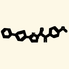 COc1ccc(NC(=O)n2ccc(-c3ccc(-c4ccccc4)cc3)n2)cc1